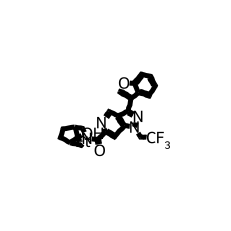 CCC1(O)C2CCC1CN(C(=O)c1cc3c(cn1)c(-c1coc4ccccc14)nn3CC(F)(F)F)C2